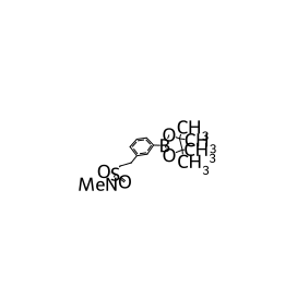 CNS(=O)(=O)CCc1cccc(B2OC(C)(C)C(C)(C)O2)c1